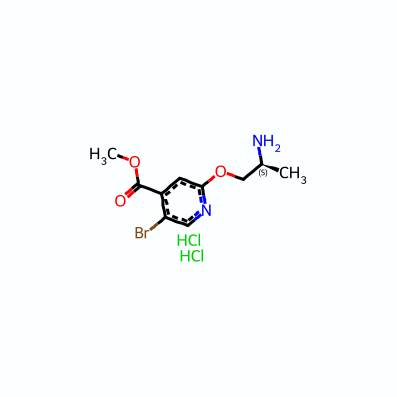 COC(=O)c1cc(OC[C@H](C)N)ncc1Br.Cl.Cl